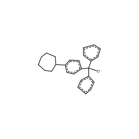 ClC(c1ccccc1)(c1ccccc1)c1ccc(C2CCCCCC2)cc1